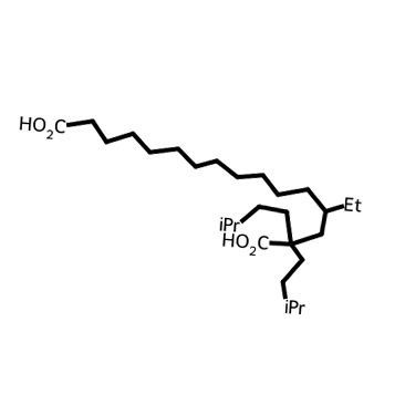 CCC(CCCCCCCCCCCC(=O)O)CC(CCC(C)C)(CCC(C)C)C(=O)O